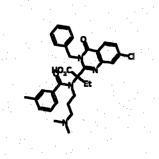 CCC(C(=O)O)(c1nc2cc(Cl)ccc2c(=O)n1Cc1ccccc1)N(CCCN(C)C)C(=O)c1cccc(C)c1